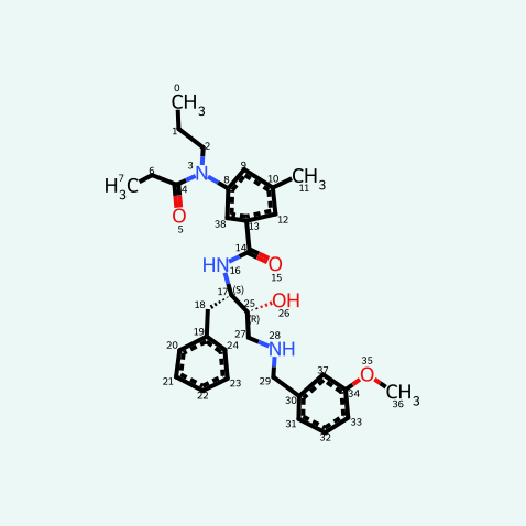 CCCN(C(=O)CC)c1cc(C)cc(C(=O)N[C@@H](Cc2ccccc2)[C@H](O)CNCc2cccc(OC)c2)c1